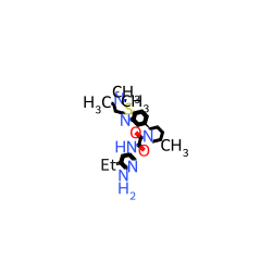 CCc1cc(NC(=O)C(=O)N2C[C@@H](C)CC[C@@H]2c2ccc3sc(CC(C)N(C)C)nc3c2)cnc1N